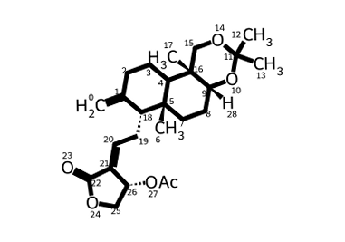 C=C1CCC2[C@](C)(CC[C@H]3OC(C)(C)OC[C@@]23C)[C@@H]1C/C=C1/C(=O)OC[C@H]1OC(C)=O